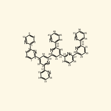 c1ccc(-c2cccc(-c3cc(-c4ccccn4)nc(-c4cc(-c5cccc(-c6cccc(-c7ccccn7)n6)n5)cc(-c5ccccn5)n4)c3)n2)nc1